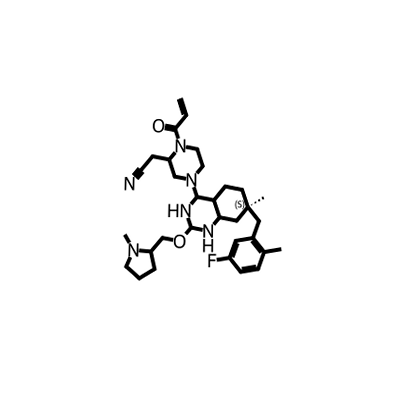 C=CC(=O)N1CCN(C2NC(OCC3CCCN3C)NC3C[C@](C)(Cc4cc(F)ccc4C)CCC32)CC1CC#N